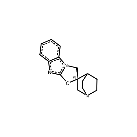 c1ccc2c(c1)nc1n2C[C@@]2(CN3CCC2CC3)O1